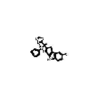 O=S(=O)(c1ccccc1)C(F)(c1nnco1)C1Cc2[nH]c3ccc(Cl)cc3c2C1